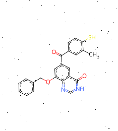 Cc1cc(C(=O)c2cc(OCc3ccccc3)c3nc[nH]c(=O)c3c2)ccc1S